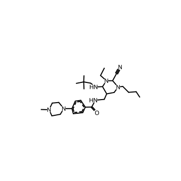 CCCCN1CC(CNC(=O)c2ccc(N3CCN(C)CC3)cc2)C(NCC(C)(C)C)N(CC)C1C#N